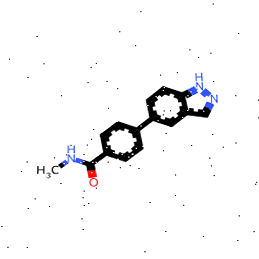 CNC(=O)c1ccc(-c2ccc3[nH]ncc3c2)cc1